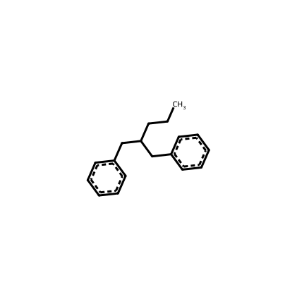 CCCC(Cc1ccccc1)Cc1ccccc1